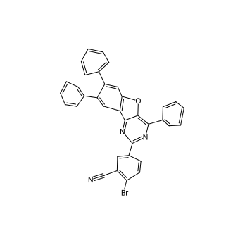 N#Cc1cc(-c2nc(-c3ccccc3)c3oc4cc(-c5ccccc5)c(-c5ccccc5)cc4c3n2)ccc1Br